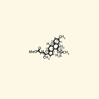 COC(=O)CC[C@@H](C)C1CCC2C3C(O[Si](C)(C)C)=CC4C[C@H](C)CC[C@]4(C)C3CC[C@@]21C